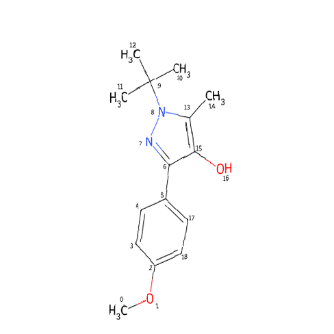 COc1ccc(-c2nn(C(C)(C)C)c(C)c2O)cc1